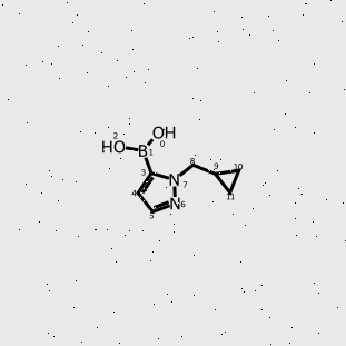 OB(O)c1ccnn1CC1CC1